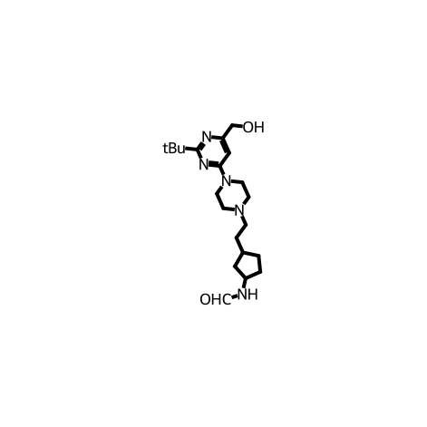 CC(C)(C)c1nc(CO)cc(N2CCN(CCC3CCC(NC=O)C3)CC2)n1